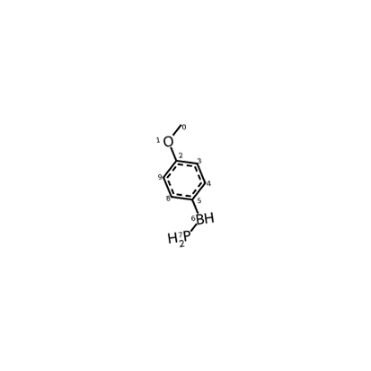 COc1ccc(BP)cc1